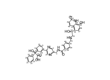 O=C(NCc1cnc(-c2cccc(C(O)(C(=O)O)c3ccccc3)c2)cn1)c1ccc(CNCC(O)c2ccc(O)c3[nH]c(=O)ccc23)cc1